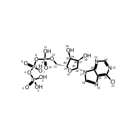 O=P(O)(O)OP(=O)(O)OP(=O)(O)OC[C@H]1O[C@@H](n2cnc3c(Cl)ncnc32)[C@H](O)[C@@H]1O